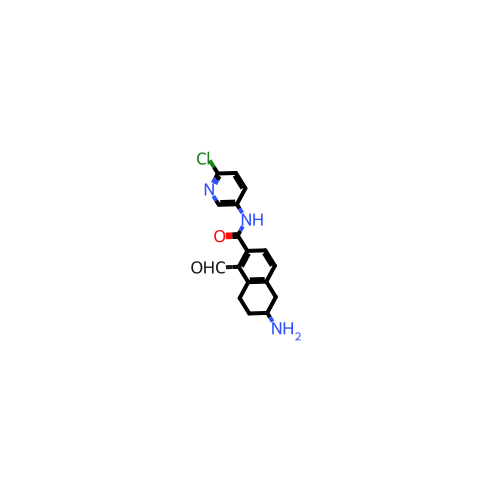 NC1CCc2c(ccc(C(=O)Nc3ccc(Cl)nc3)c2C=O)C1